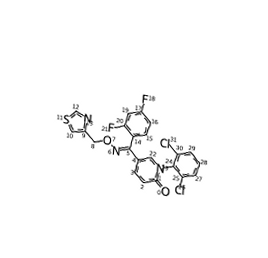 O=c1ccc(/C(=N/OCc2cscn2)c2ccc(F)cc2F)cn1-c1c(Cl)cccc1Cl